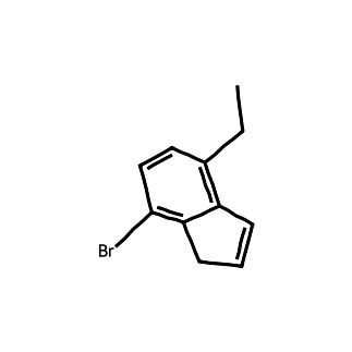 CCc1ccc(Br)c2c1C=CC2